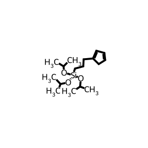 CC(C)O[Si](CCCC1=CC=CC1)(OC(C)C)OC(C)C